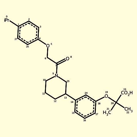 CC(C)c1ccc(OCC(=O)N2CCCC(c3cccc(OC(C)(C)C(=O)O)c3)C2)cc1